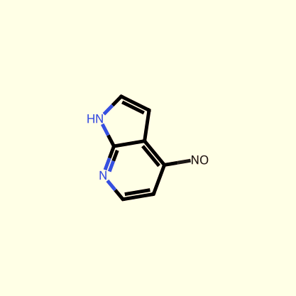 O=Nc1ccnc2[nH]ccc12